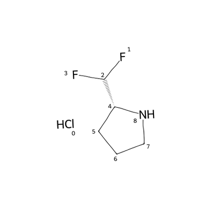 Cl.FC(F)[C@H]1CCCN1